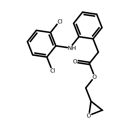 O=C(Cc1ccccc1Nc1c(Cl)cccc1Cl)OCC1CO1